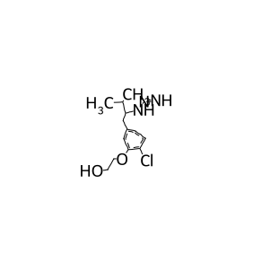 CC(C)C(Cc1ccc(Cl)c(OCCO)c1)NN=N